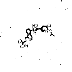 CC(C)Oc1ncc(-c2nc(-c3cccc4c(CCC(=O)O)nccc34)no2)cc1Cl